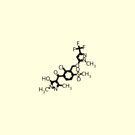 Cc1nn(C)c(O)c1C(=O)c1ccc(S(C)(=O)=O)c(COc2cc(C(F)(F)F)nn2C)c1Cl